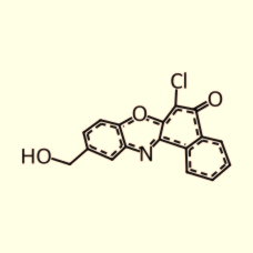 O=c1c(Cl)c2oc3ccc(CO)cc3nc-2c2ccccc12